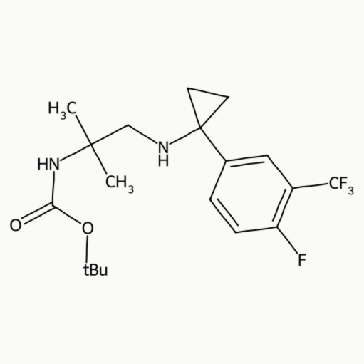 CC(C)(CNC1(c2ccc(F)c(C(F)(F)F)c2)CC1)NC(=O)OC(C)(C)C